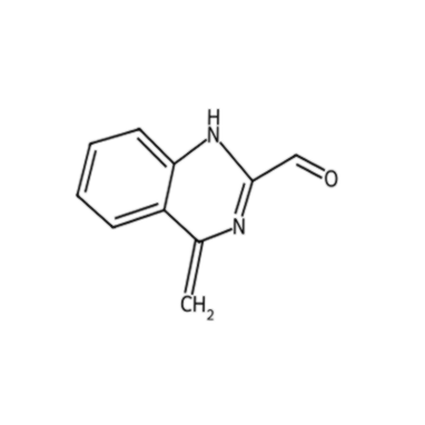 C=C1N=C(C=O)Nc2ccccc21